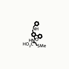 CSCC[C@H](NC(=O)c1ccc(CNCc2ccccc2)cc1-c1ccccc1)C(=O)O